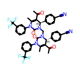 CC(=O)C1=C(C)N(c2cccc(C(F)(F)F)c2)C(=O)N(CN2C(=O)N(c3cccc(C(F)(F)F)c3)C(C)=C(C(C)=O)[C@H]2c2ccc(C#N)cc2)[C@@H]1c1ccc(C#N)cc1